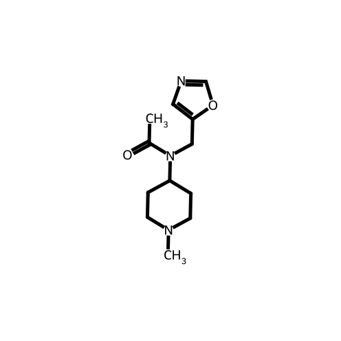 CC(=O)N(Cc1cnco1)C1CCN(C)CC1